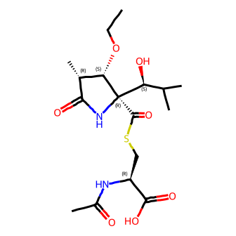 CCO[C@H]1[C@@H](C)C(=O)N[C@]1(C(=O)SC[C@H](NC(C)=O)C(=O)O)[C@@H](O)C(C)C